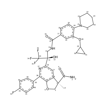 C[C@]1(C(N)=O)COc2c1cc([C@@](O)(CNC(=O)c1ccc(N3CCCCC3)c(OC3CC3)c1)C(F)(F)F)nc2-c1ccc(F)cc1